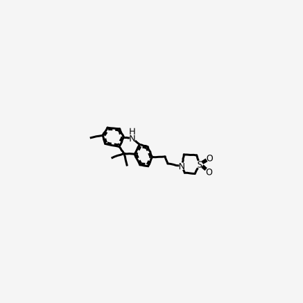 Cc1ccc2c(c1)C(C)(C)c1ccc(CCN3CCS(=O)(=O)CC3)cc1N2